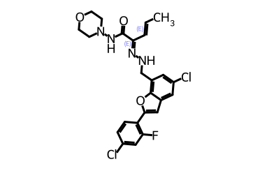 C/C=C/C(=N\NCc1cc(Cl)cc2cc(-c3ccc(Cl)cc3F)oc12)C(=O)NN1CCOCC1